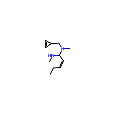 CC/C=C\C(NC)N(C)CC1C=C1